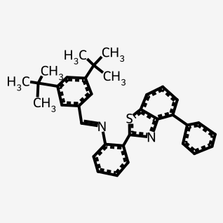 CC(C)(C)c1cc(/C=N/c2ccccc2-c2nc3c(-c4ccccc4)cccc3s2)cc(C(C)(C)C)c1